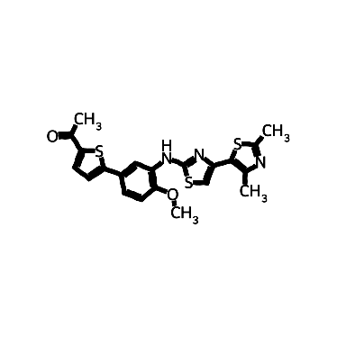 COc1ccc(-c2ccc(C(C)=O)s2)cc1Nc1nc(-c2sc(C)nc2C)cs1